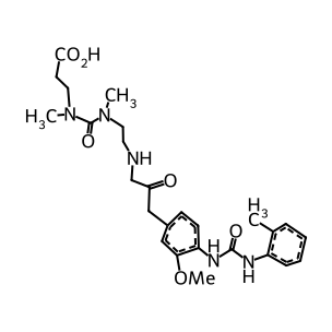 COc1cc(CC(=O)CNCCN(C)C(=O)N(C)CCC(=O)O)ccc1NC(=O)Nc1ccccc1C